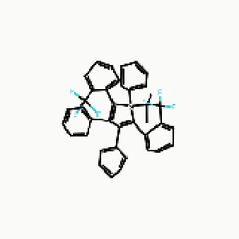 CC(C)(C)[Si]1(c2ccccc2)C(c2ccccc2C(F)(F)F)=C(c2ccccc2)C(c2ccccc2)=C1c1ccccc1C(F)(F)F